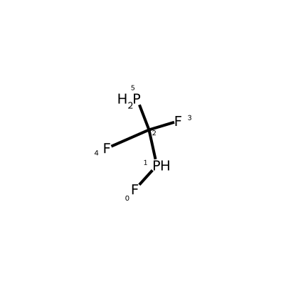 FPC(F)(F)P